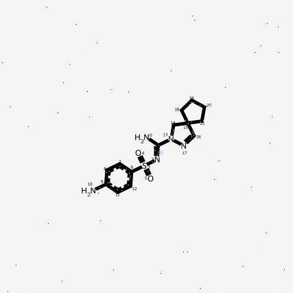 N/C(=N\S(=O)(=O)c1ccc(N)cc1)N1CC2(C=N1)CCCC2